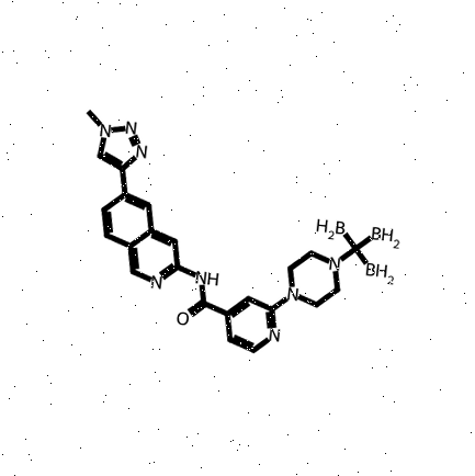 BC(B)(B)N1CCN(c2cc(C(=O)Nc3cc4cc(-c5cn(C)nn5)ccc4cn3)ccn2)CC1